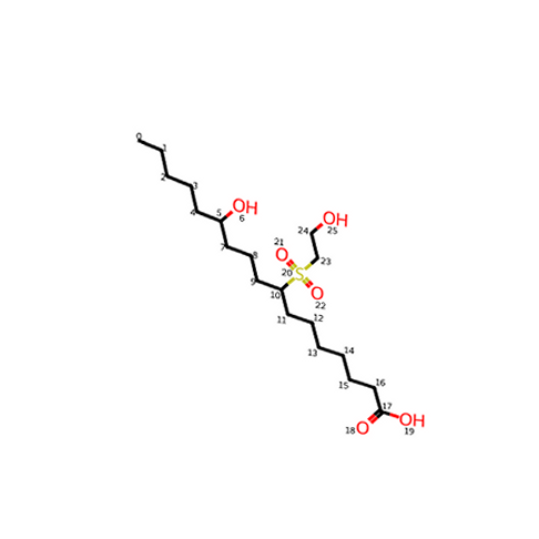 CCCCCC(O)CCCC(CCCCCCC(=O)O)S(=O)(=O)CCO